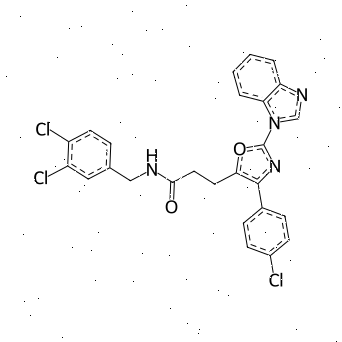 O=C(CCc1oc(-n2cnc3ccccc32)nc1-c1ccc(Cl)cc1)NCc1ccc(Cl)c(Cl)c1